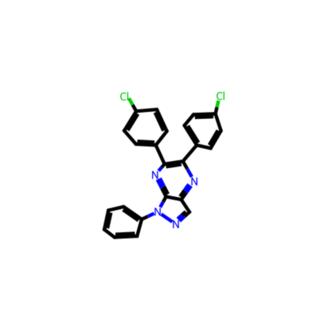 Clc1ccc(-c2nc3cnn(-c4ccccc4)c3nc2-c2ccc(Cl)cc2)cc1